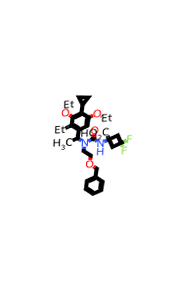 CCOc1cc(C(C)N(CCOCc2ccccc2)C(=O)NC2(C(=O)O)CC(F)(F)C2)c(CC)c(OCC)c1C1CC1